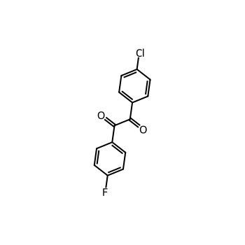 O=C(C(=O)c1ccc(Cl)cc1)c1ccc(F)cc1